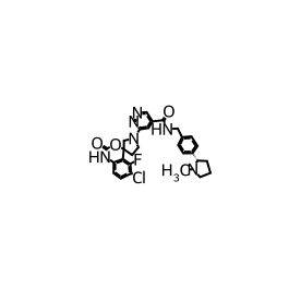 CN1CCC[C@H]1c1ccc(CNC(=O)c2cnnc(N3CCC4(C3)OC(=O)Nc3ccc(Cl)c(F)c34)c2)cc1